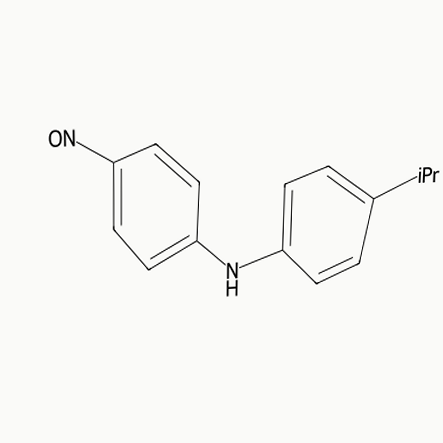 CC(C)c1ccc(Nc2ccc(N=O)cc2)cc1